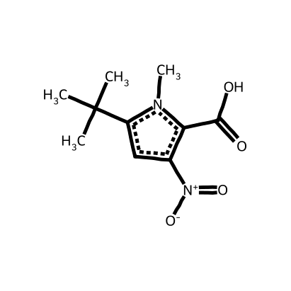 Cn1c(C(C)(C)C)cc([N+](=O)[O-])c1C(=O)O